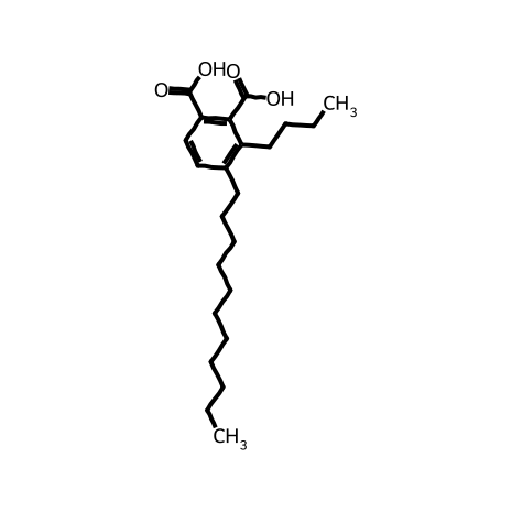 CCCCCCCCCCCc1ccc(C(=O)O)c(C(=O)O)c1CCCC